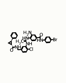 C=C(Nc1ccc(C(=O)Nc2ccc(Br)cc2)cc1N)Nc1cc(CNC(=O)[C@@H]2C[C@H]2c2ccccc2)ccc1Cl